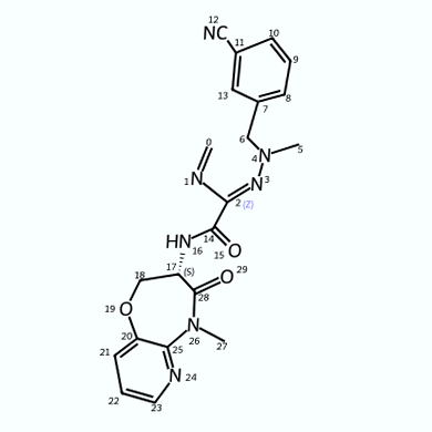 C=N/C(=N\N(C)Cc1cccc(C#N)c1)C(=O)N[C@H]1COc2cccnc2N(C)C1=O